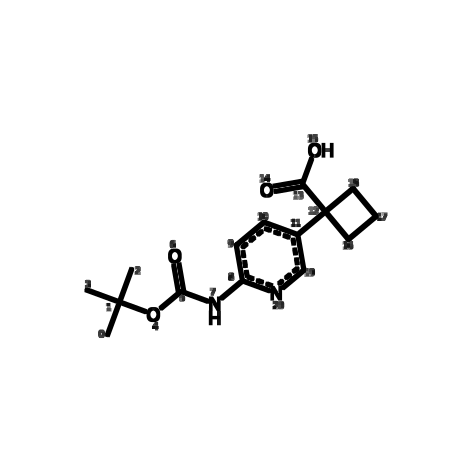 CC(C)(C)OC(=O)Nc1ccc(C2(C(=O)O)CCC2)cn1